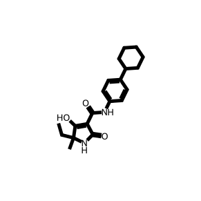 CCC1(C)NC(=O)C(C(=O)Nc2ccc(C3CCCCC3)cc2)=C1O